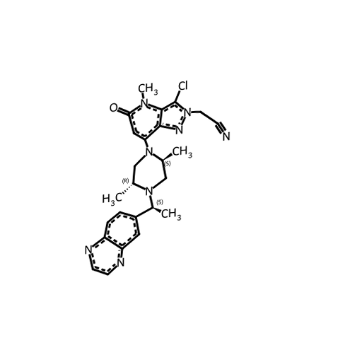 C[C@@H]1CN(c2cc(=O)n(C)c3c(Cl)n(CC#N)nc23)[C@@H](C)CN1[C@@H](C)c1ccc2nccnc2c1